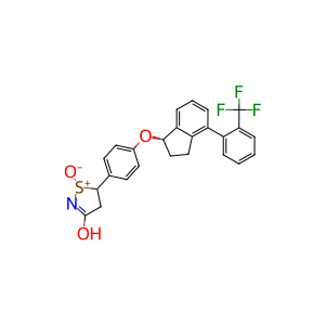 [O-][S+]1N=C(O)CC1c1ccc(O[C@@H]2CCc3c(-c4ccccc4C(F)(F)F)cccc32)cc1